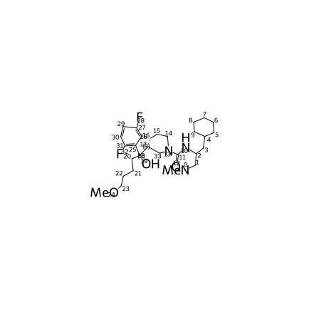 CNCC(CC1CCCCC1)NC(=O)N1CCC[C@@H]([C@@](O)(CCCCOC)c2cc(F)ccc2F)C1